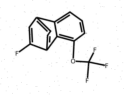 Fc1cc2ccc1c1c(OC(F)(F)F)[c]ccc21